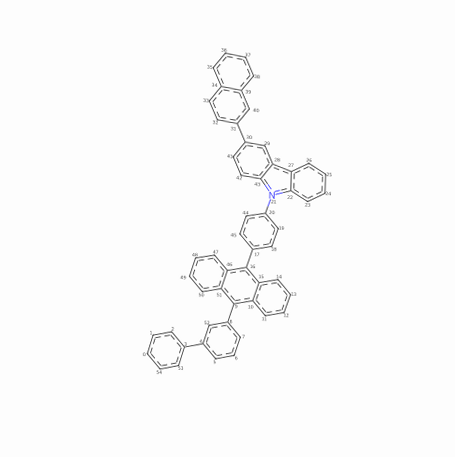 c1ccc(-c2cccc(-c3c4ccccc4c(-c4ccc(-n5c6ccccc6c6cc(-c7ccc8ccccc8c7)ccc65)cc4)c4ccccc34)c2)cc1